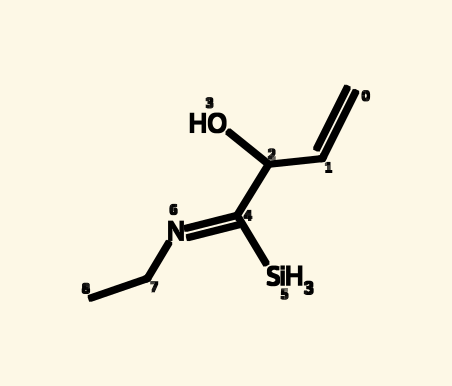 C=CC(O)C([SiH3])=NCC